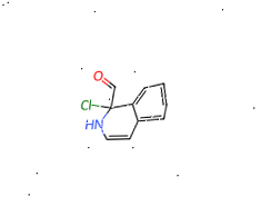 O=CC1(Cl)NC=Cc2ccccc21